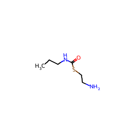 CCCNC(=O)SCCN